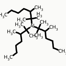 CCCCC(C)[C](C)(C)[Al]([C](C)(C)C(C)CCCC)[C](C)(C)C(C)CCCC